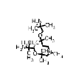 CN(CCC(C)(C)OCC(C)(C)N)CC(C)(C)OCC(C)(C)N